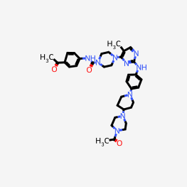 CC(=O)c1ccc(NC(=O)N2CCN(c3nc(Nc4ccc(N5CCC(N6CCN(C(C)=O)CC6)CC5)cc4)ncc3C)CC2)cc1